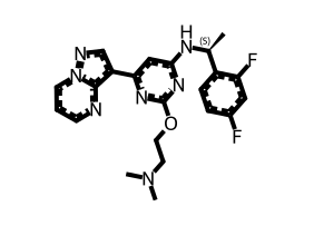 C[C@H](Nc1cc(-c2cnn3cccnc23)nc(OCCN(C)C)n1)c1ccc(F)cc1F